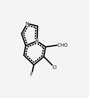 O=Cc1c(Cl)c(F)cc2cncn12